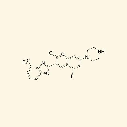 O=c1oc2cc(N3CCNCC3)cc(F)c2cc1-c1nc2c(C(F)(F)F)cccc2o1